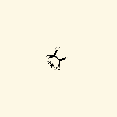 O=C([O-])C(=O)[O-].[N]#[Ru+2]